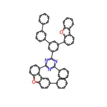 c1ccc(-c2cccc(-c3cc(-c4nc(-c5ccccc5)nc(-c5cccc6oc7ccc(-c8ccccc8)cc7c56)n4)cc(-c4cccc5c4oc4ccccc45)c3)c2)cc1